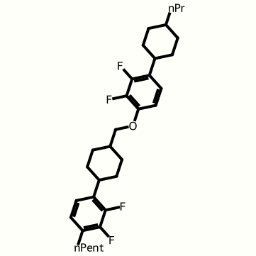 CCCCCc1ccc(C2CCC(COc3ccc(C4CCC(CCC)CC4)c(F)c3F)CC2)c(F)c1F